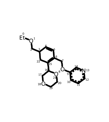 CCOCC1C=CC(COc2cccnc2)=C(C2COCCO2)C1